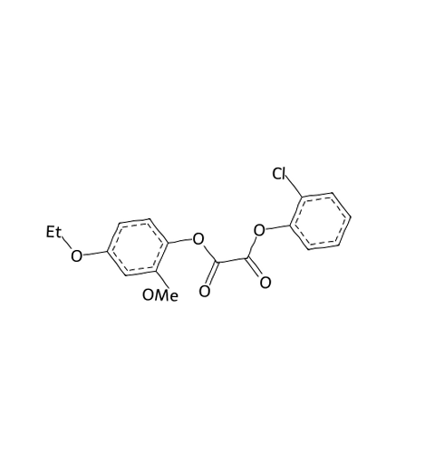 CCOc1ccc(OC(=O)C(=O)Oc2ccccc2Cl)c(OC)c1